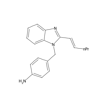 CCC/C=C/c1nc2ccccc2n1Cc1ccc(N)cc1